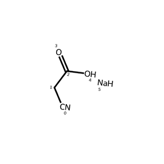 N#CCC(=O)O.[NaH]